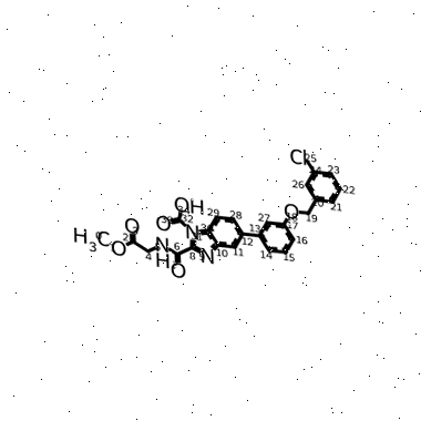 COC(=O)CNC(=O)c1nc2cc(-c3cccc(OCc4cccc(Cl)c4)c3)ccc2n1C(=O)O